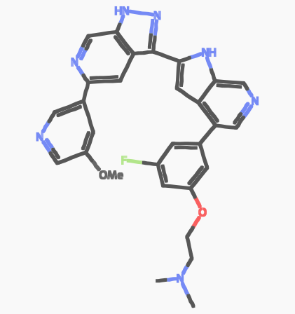 COc1cncc(-c2cc3c(-c4cc5c(-c6cc(F)cc(OCCN(C)C)c6)cncc5[nH]4)n[nH]c3cn2)c1